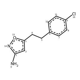 Nc1cc(CCc2ccc(Cl)cc2)on1